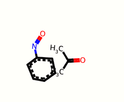 CC(C)=O.O=Nc1ccccc1